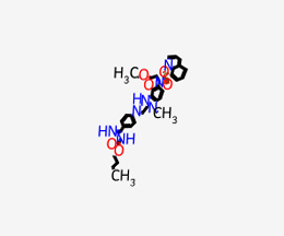 CCCCOC(=O)NC(=N)c1ccc(NCc2nc3cc(N(CC(=O)OCC)S(=O)(=O)c4cccc5cccnc45)ccc3n2C)cc1